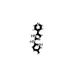 CC1=CC=C(NC2NC(c3ccncc3)=CS2)NC1